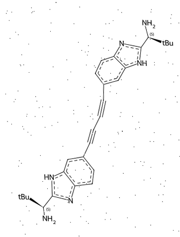 CC(C)(C)[C@H](N)c1nc2ccc(C#CC#Cc3ccc4nc([C@@H](N)C(C)(C)C)[nH]c4c3)cc2[nH]1